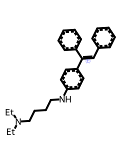 CCN(CC)CCCCNc1ccc(/C(=C/c2ccccc2)c2ccccc2)cc1